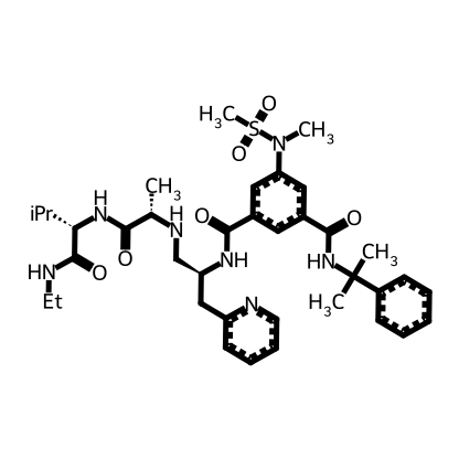 CCNC(=O)[C@@H](NC(=O)[C@H](C)NC[C@H](Cc1ccccn1)NC(=O)c1cc(C(=O)NC(C)(C)c2ccccc2)cc(N(C)S(C)(=O)=O)c1)C(C)C